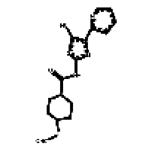 N#Cc1sc(NC(=O)C2CCC(OC=O)CC2)nc1-c1ccccn1